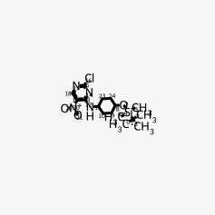 CC(C)(C)[Si](C)(C)OC1CCC(Nc2nc(Cl)ncc2[N+](=O)[O-])CC1